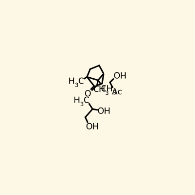 CC(=O)CO.CC(O)CO.CC12CCC(CC1=O)C2(C)C